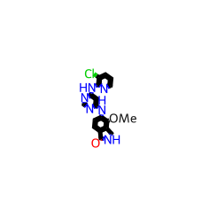 COc1c(Nc2cc(Nc3ncccc3Cl)ncn2)ccc2c1CNC2=O